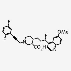 COc1ccc2nccc([C@H](F)CC[C@@H]3CCN(CC#Cc4cc(F)ccc4F)C[C@@H]3C(=O)O)c2c1